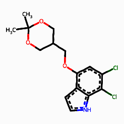 CC1(C)OCC(COc2cc(Cl)c(Cl)c3[nH]ccc23)CO1